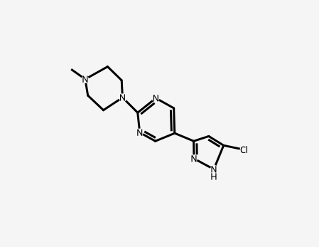 CN1CCN(c2ncc(-c3cc(Cl)[nH]n3)cn2)CC1